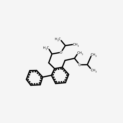 CC(C)OC(C)Cc1cccc(-c2ccccc2)c1CC(C)OC(C)C